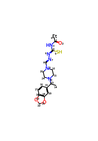 CCC(=O)N/C(S)=N/N=C/N1CCN(C(C)c2ccc3c(c2)OCO3)CC1